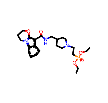 CCOP(=O)(CCN1CCC(CNC(=O)c2c3n(c4ccccc24)CCCO3)CC1)OCC